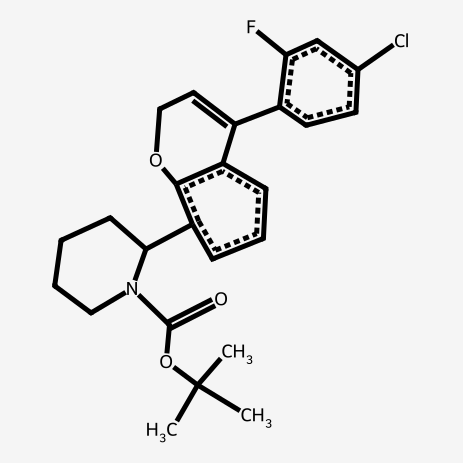 CC(C)(C)OC(=O)N1CCCCC1c1cccc2c1OCC=C2c1ccc(Cl)cc1F